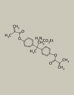 C=C(C)C(=O)Oc1ccc(C(C)(C)c2ccc(OC(=O)C(=C)C)cc2)cc1.CCOC(N)=O